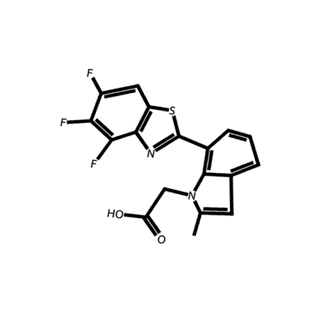 Cc1cc2cccc(-c3nc4c(F)c(F)c(F)cc4s3)c2n1CC(=O)O